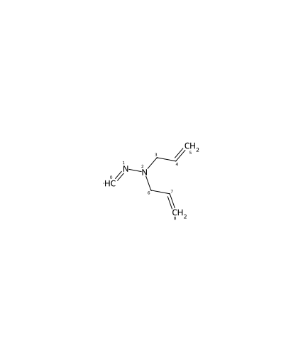 [CH]=NN(CC=C)CC=C